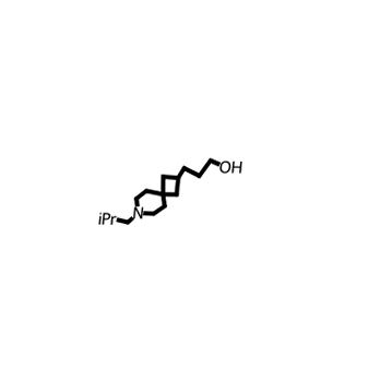 CC(C)CN1CCC2(CC1)CC(CCCO)C2